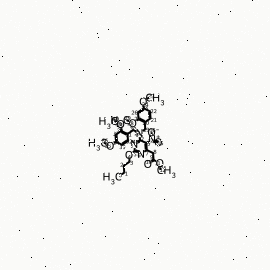 CCCCOc1nc(CC(=O)OC)c([N+](=O)[O-])c(N(Cc2ccc(OC)cc2OC)Cc2ccc(OC)cc2OC)n1